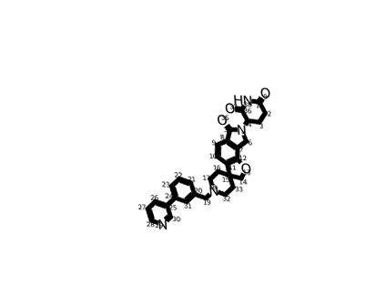 O=C1CCC(N2Cc3c(ccc4c3OCC43CCN(Cc4cccc(-c5cccnc5)c4)CC3)C2=O)C(=O)N1